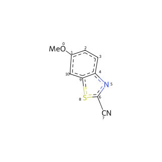 COc1ccc2nc(C#N)sc2c1